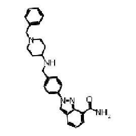 NC(=O)c1cccc2cn(-c3ccc(CNC4CCN(Cc5ccccc5)CC4)cc3)nc12